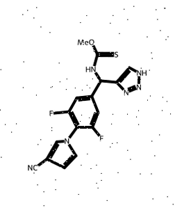 COC(=S)NC(c1cc(F)c(-n2ccc(C#N)c2)c(F)c1)c1c[nH]nn1